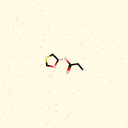 CCC(=O)O[C@H]1CSCO1